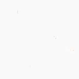 CCc1cc(=O)n(C2CC2)c2cc(Br)c(F)cc12